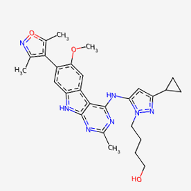 COc1cc2c(cc1-c1c(C)noc1C)[nH]c1nc(C)nc(Nc3cc(C4CC4)nn3CCCCO)c12